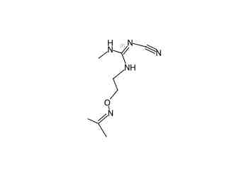 CN/C(=N/C#N)NCCON=C(C)C